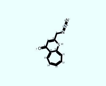 [N-]=[N+]=NCc1cc(=O)c2c(s1)=CC=C=CC=2